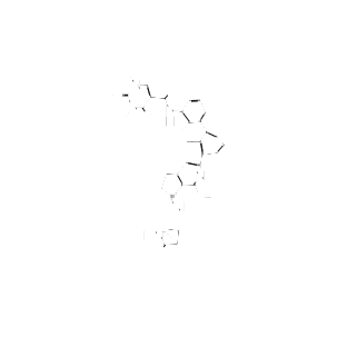 COc1nc(-c2cccc(-c3cccc(NC(=O)c4cn(C)c(=O)n(C)c4=O)c3C)c2Cl)cc2c1[C@H](NC[C@@H]1CCC(=O)N1)CC2